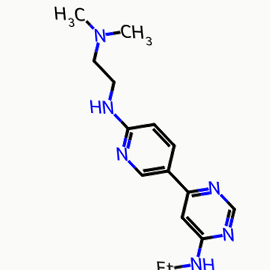 CCNc1cc(-c2ccc(NCCN(C)C)nc2)ncn1